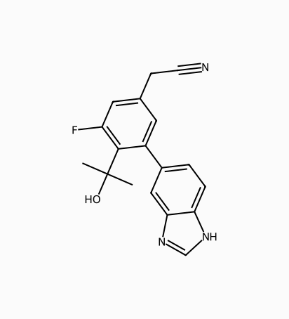 CC(C)(O)c1c(F)cc(CC#N)cc1-c1ccc2[nH]cnc2c1